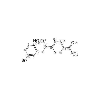 CCN(Cc1cc(Br)ccc1O)c1ccc(C(N)=O)nn1